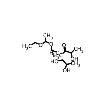 CC(=O)C(C)O.CC(O)CO.CCOC(C)OCC